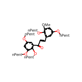 CCCCCOc1cc(C=CC(=O)c2cc(OCCCCC)cc(OCCCCC)c2OCCCCC)c(OCCCCC)c(OC)c1